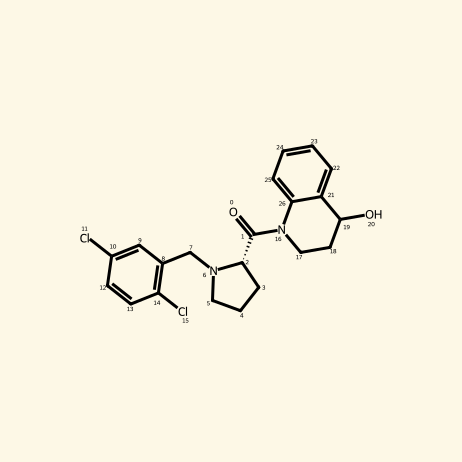 O=C([C@@H]1CCCN1Cc1cc(Cl)ccc1Cl)N1CCC(O)c2ccccc21